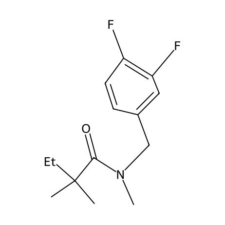 CCC(C)(C)C(=O)N(C)Cc1ccc(F)c(F)c1